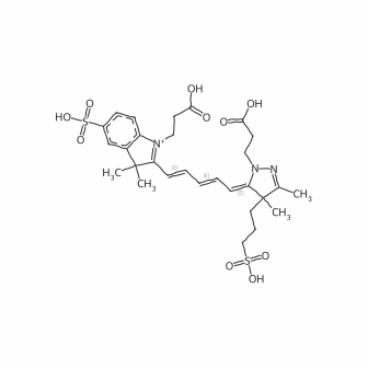 CC1=NN(CCC(=O)O)\C(=C/C=C/C=C/C2=[N+](CCC(=O)O)c3ccc(S(=O)(=O)O)cc3C2(C)C)C1(C)CCCS(=O)(=O)O